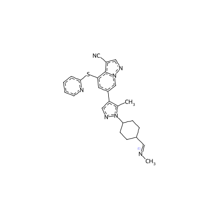 C/N=C/C1CCC(n2ncc(-c3cc(Sc4ccccn4)c4c(C#N)cnn4c3)c2C)CC1